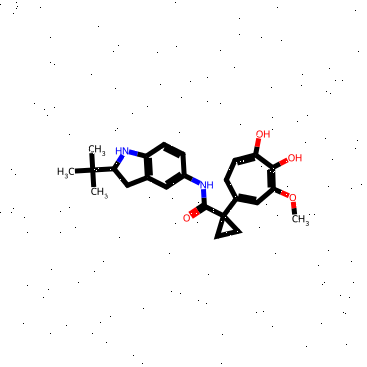 COC1=C(O)C(O)=CCC(C2(C(=O)Nc3ccc4c(c3)CC(C(C)(C)C)N4)CC2)=C1